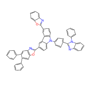 c1ccc(-c2cc3nc(-c4ccc5c(c4)c4cc(-c6nc7ccccc7o6)ccc4n5-c4ccc(-c5nc6ccccc6n5-c5ccccc5)cc4)oc3cc2-c2ccccc2)cc1